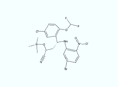 C[Si](C)(C)OC(C#N)C[C@@H](Nc1cc(Br)ccc1[N+](=O)[O-])c1cc(Cl)ccc1OC(F)F